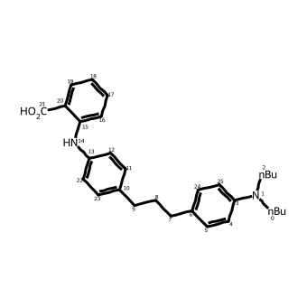 CCCCN(CCCC)c1ccc(CCCc2ccc(Nc3ccccc3C(=O)O)cc2)cc1